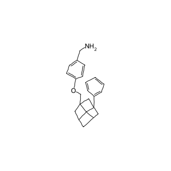 NCc1ccc(OCC23CC4CC5CC(c6ccccc6)(C2)C453)cc1